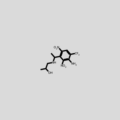 CC(O)CNC(C)c1c([N+](=O)[O-])cc(C(F)(F)F)c(N)c1[N+](=O)[O-]